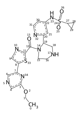 CCOc1cncc(-c2cnc(C(=O)N3CCNCC3c3cc(NS(=O)(=O)C4CC4)ccn3)s2)n1